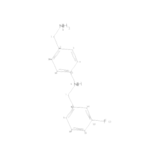 NCc1ccc(NCc2cccc(F)c2)cc1